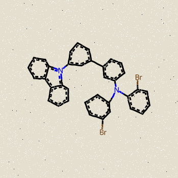 Brc1cccc(N(c2cccc(-c3cccc(-n4c5ccccc5c5ccccc54)c3)c2)c2ccccc2Br)c1